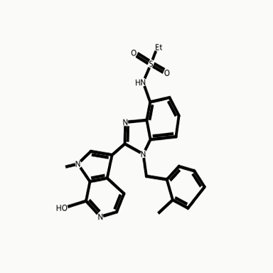 CCS(=O)(=O)Nc1cccc2c1nc(-c1cn(C)c3c(O)nccc13)n2Cc1ccccc1C